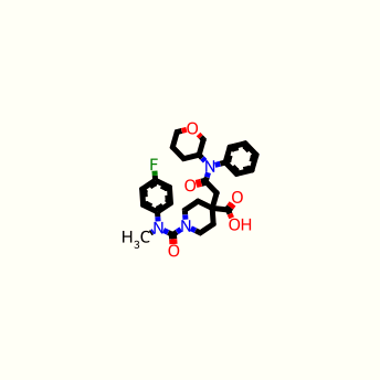 CN(C(=O)N1CCC(CC(=O)N(c2ccccc2)C2CCCOC2)(C(=O)O)CC1)c1ccc(F)cc1